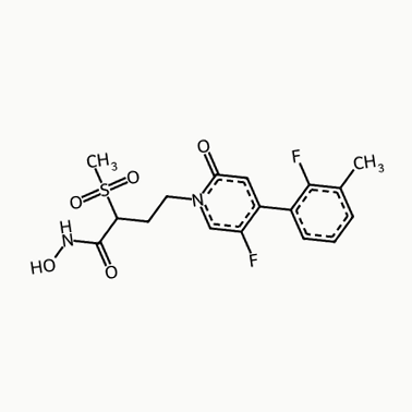 Cc1cccc(-c2cc(=O)n(CCC(C(=O)NO)S(C)(=O)=O)cc2F)c1F